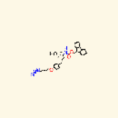 [N-]=[N+]=NCCCCOc1ccc(CCCC(NC(=O)OCC2c3ccccc3-c3ccccc32)C(=O)O)cc1